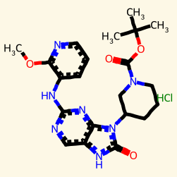 COc1ncccc1Nc1ncc2[nH]c(=O)n(C3CCCN(C(=O)OC(C)(C)C)C3)c2n1.Cl